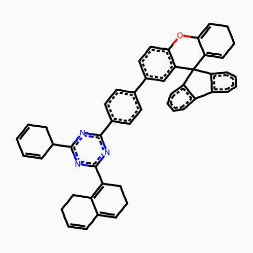 C1=CCC(c2nc(C3=C4CCC=CC4=CCC3)nc(-c3ccc(-c4ccc5c(c4)C4(C6=CCCC=C6O5)c5ccccc5-c5ccccc54)cc3)n2)C=C1